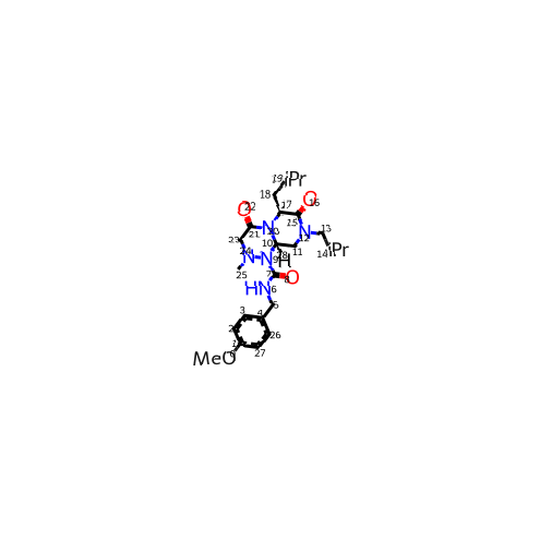 COc1ccc(CNC(=O)N2[C@H]3CN(CC(C)C)C(=O)[C@H](CC(C)C)N3C(=O)CN2C)cc1